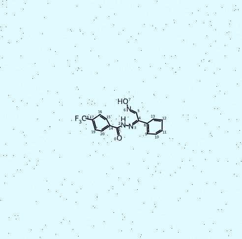 O=C(NN=C(C=NO)c1ccccc1)c1ccc(C(F)(F)F)cc1